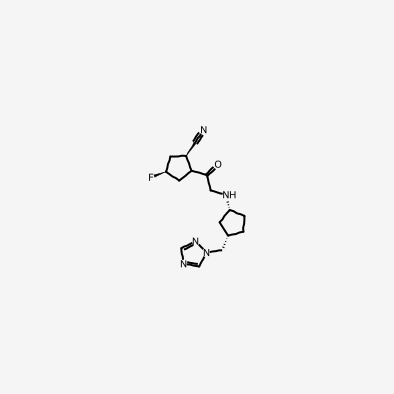 N#C[C@@H]1C[C@H](F)CC1C(=O)CN[C@@H]1CC[C@H](Cn2cncn2)C1